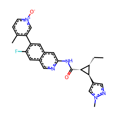 CC[C@H]1[C@@H](C(=O)Nc2cc3cc(-c4c[n+]([O-])ccc4C)c(F)cc3cn2)[C@@H]1c1cnn(C)c1